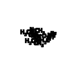 Cc1cnn(C(C)C)c1-c1ncc2c(n1)N(Cc1ccc(-c3nc(C(F)(F)F)cn3C)cc1)CC(=O)N2C(C)C